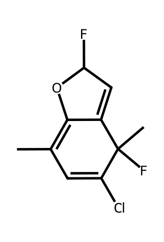 CC1=C2OC(F)C=C2C(C)(F)C(Cl)=C1